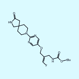 CC(C)(C)OC(=O)NC/C(=C\F)COc1cnc(N2CCC3(CC2)CNC(=O)C3)nc1